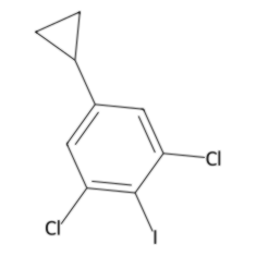 Clc1cc(C2CC2)cc(Cl)c1I